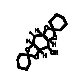 C[C@@H]1[C@H]2OC3(CCCCC3)O[C@H]2[C@@H](O)[C@@H]2OC3(CCCCC3)O[C@@H]12